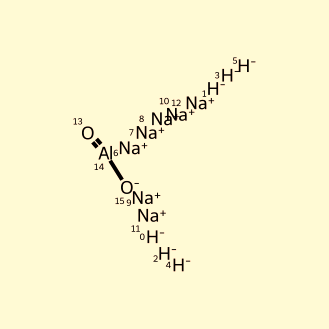 [H-].[H-].[H-].[H-].[H-].[H-].[Na+].[Na+].[Na+].[Na+].[Na+].[Na+].[Na+].[O]=[Al][O-]